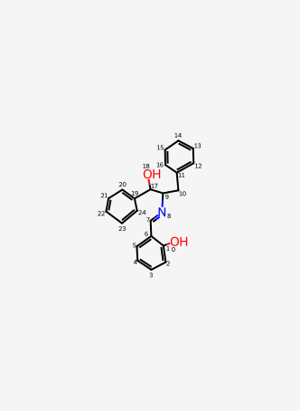 Oc1ccccc1C=NC(Cc1ccccc1)C(O)c1ccccc1